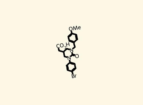 COc1ccc(CN2CC(CC(=O)O)CN(c3ccc(Br)cc3)C2=O)cc1